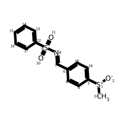 C[S+]([O-])c1ccc(C=NS(=O)(=O)c2ccccc2)cc1